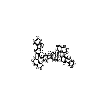 c1ccc2c(N(c3ccc4c(c3)oc3ccccc34)c3cnc4c(c3)oc3nc(N(c5ccc6c(c5)oc5ccccc56)c5cccc6ccccc56)ncc34)cccc2c1